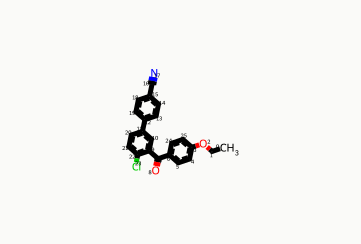 CCOc1ccc(C(=O)c2cc(-c3ccc(C#N)cc3)ccc2Cl)cc1